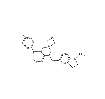 CN1CCc2nc(CC3CC4(COC4)CN4C3=NOCC4c3ccc(F)cc3)ccc21